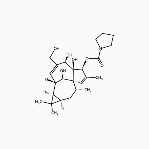 CC1=C[C@]23C(O)[C@@H](C=C(CO)[C@@H](O)[C@]2(O)[C@H]1OC(=O)N1CCCC1)[C@H]1[C@@H](C[C@H]3C)C1(C)C